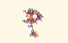 CC[C@@H]1OC(=O)[C@H](C)[C@H](O[C@@H]2C[C@](C)(OC)[C@H](OC(=O)CCNCCCc3ccc4c(c3)c(=O)c(C(=O)O)cn4CC)[C@H](C)O2)[C@@H](C)[C@H](O[C@@H]2O[C@H](C)C[C@H](N(C)C)[C@@H]2O)[C@](C)(OC)C[C@H](C)C(=O)[C@@H](C)[C@H]2NC(=O)O[C@@]12C